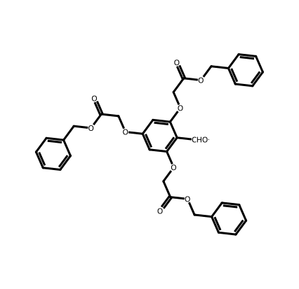 O=[C]c1c(OCC(=O)OCc2ccccc2)cc(OCC(=O)OCc2ccccc2)cc1OCC(=O)OCc1ccccc1